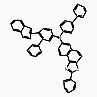 c1ccc(-c2ccc(N(c3ccc(-c4ccc5ccccc5c4)c(-c4ccccc4)c3)c3ccc4c(ccc5oc(-c6ccccc6)nc54)c3)cc2)cc1